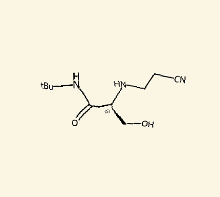 CC(C)(C)NC(=O)[C@H](CO)NCCC#N